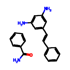 NC(=O)c1ccccc1.Nc1cc(N)cc(C=Cc2ccccc2)c1